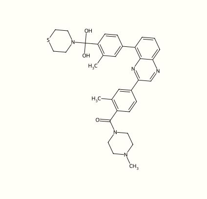 Cc1cc(-c2cnc3cccc(-c4ccc(C(O)(O)N5CCSCC5)c(C)c4)c3n2)ccc1C(=O)N1CCN(C)CC1